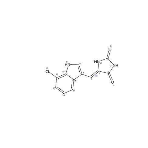 O=C1NC(=O)/C(=C/c2c[nH]c3c(Cl)cccc23)N1